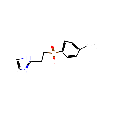 O=C(O)c1ccc(S(=O)(=O)CCc2ncc[nH]2)cc1